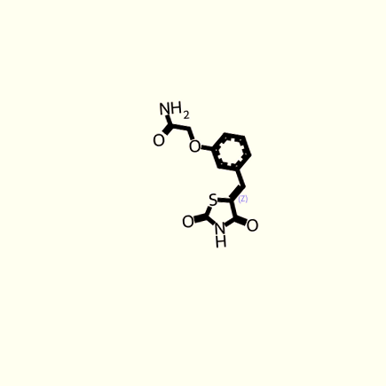 NC(=O)COc1cccc(/C=C2\SC(=O)NC2=O)c1